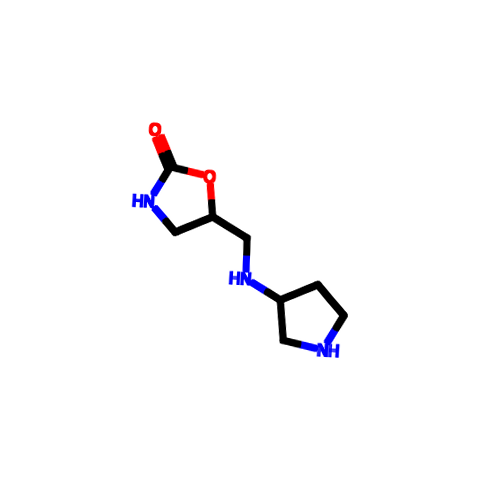 O=C1NCC(CNC2CCNC2)O1